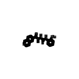 CC(C)(C)c1ccccc1NC(=S)NNC(=O)c1ccc2cnccc2c1